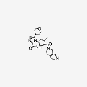 Cc1cc2c(cc1C(=O)N1CCc3ccncc3C1)[nH]c(=O)c1nnc(C3CCOCC3)n12